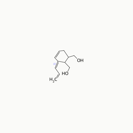 C=C/C=C1/C=CCC(CO)C1CO